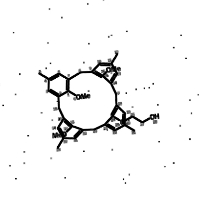 COc1c2cc(C)cc1Cc1cc(C)cc(c1OC)Cc1cc(C)cc(c1OCCO)Cc1cc(C)cc(c1OC)C2